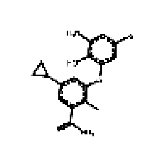 C=C(N)c1cc(C2CC2)cc(Sc2cc(Br)cc(N)c2O)c1C